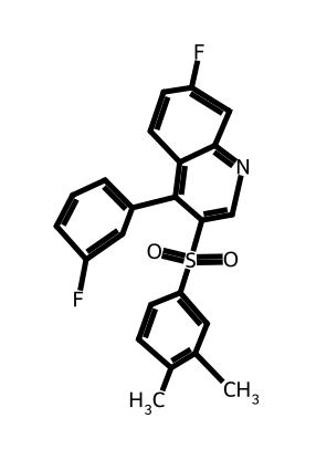 Cc1ccc(S(=O)(=O)c2cnc3cc(F)ccc3c2-c2cccc(F)c2)cc1C